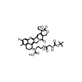 CC[C@@]1(O)C(=O)OCc2c1cc1n(c2=O)Cc2c-1nc1cc(F)c(C)c3c1c2[C@@H](N(CCNC(=O)CNC(=O)OC(C)(C)C)C(=O)O)CC3